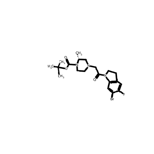 C[C@@H]1CN(CC(=O)N2CCc3cc(F)c(Br)cc32)CCN1C(=O)OC(C)(C)C